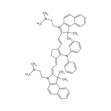 CN(C)CCN1/C(=C/C=C2\CCC(/C=C/C3=[N+](CCN(C)C)c4ccc5ccccc5c4C3(C)C)=C2N(c2ccccc2)c2ccccc2)C(C)(C)c2c1ccc1ccccc21